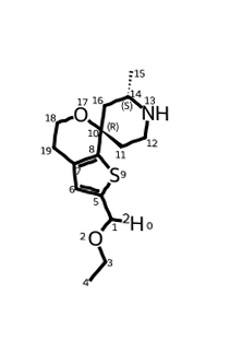 [2H]C(OCC)c1cc2c(s1)[C@]1(CCN[C@@H](C)C1)OCC2